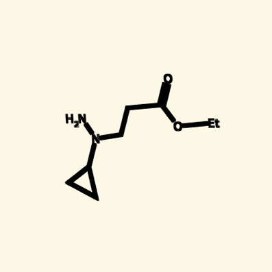 CCOC(=O)CCN(N)C1CC1